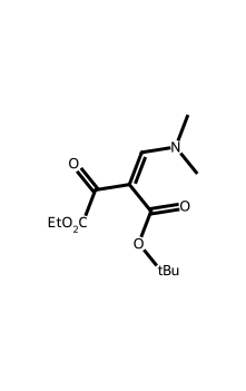 CCOC(=O)C(=O)/C(=C/N(C)C)C(=O)OC(C)(C)C